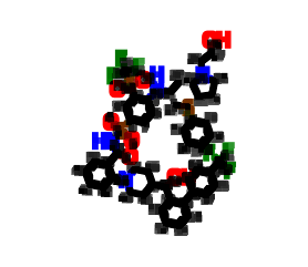 O=C(NS(=O)(=O)c1ccc(N[C@@H](CSc2ccccc2)C[C@H]2CCCN2CCO)c(S(=O)(=O)C(F)(F)F)c1)c1ccccc1N1CCC(C(O)c2ccccc2-c2ccc(C(F)(F)F)cc2)CC1